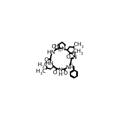 CC(C)CC1c2nnc(o2)[C@H](Cc2ccccc2)NC(=O)NC(=O)[C@@H](CC(C)C)NC(=O)CNC(=O)[C@@H]2CCCN12